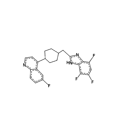 Fc1ccc2nccc(C3CCC(Cc4nc5c(F)cc(F)c(F)c5[nH]4)CC3)c2c1